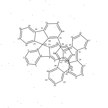 c1ccc2c(c1)-c1cc3c4ccccc4c4ccccc4c3cc1C21c2ccccc2-c2cccc(-c3ccc4oc5ccccc5c4c3)c21